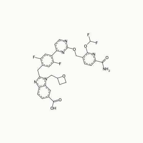 NC(=O)c1ccc(COc2nccc(-c3cc(F)c(Cc4nc5ccc(C(=O)O)cc5n4CC4CCO4)cc3F)n2)c(OC(F)F)n1